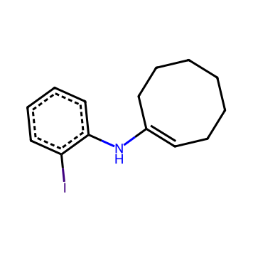 Ic1ccccc1NC1=CCCCCCC1